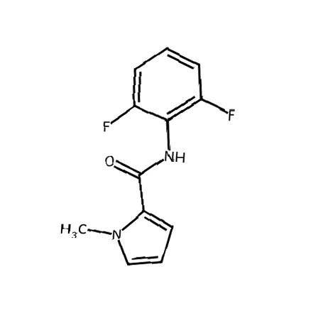 Cn1cccc1C(=O)Nc1c(F)cccc1F